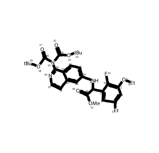 CCOc1cc(CC)cc(C(Nc2ccc3c(N(C(=O)OC(C)(C)C)C(=O)OC(C)(C)C)nccc3c2)C(=O)OC)c1F